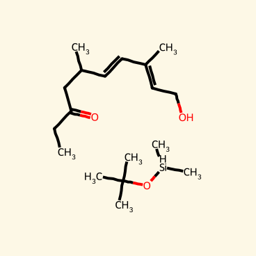 CCC(=O)CC(C)C=CC(C)=CCO.C[SiH](C)OC(C)(C)C